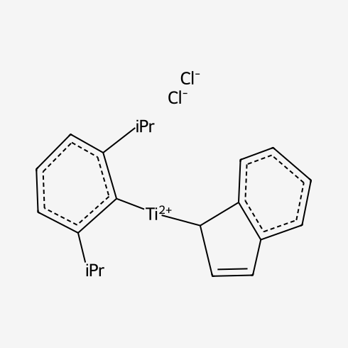 CC(C)c1cccc(C(C)C)[c]1[Ti+2][CH]1C=Cc2ccccc21.[Cl-].[Cl-]